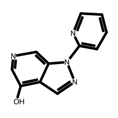 Oc1cncc2c1cnn2-c1ccccn1